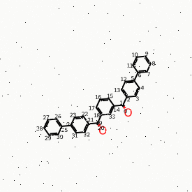 O=C(c1ccc(-c2ccccc2)cc1)c1cccc(C(=O)c2ccc(-c3ccccc3)cc2)c1